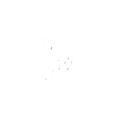 CCn1cc(C(=O)O)c(=O)c2cc(CCCNCCN)ccc21.O=C(O)C(F)(F)F.O=C(O)C(F)(F)F